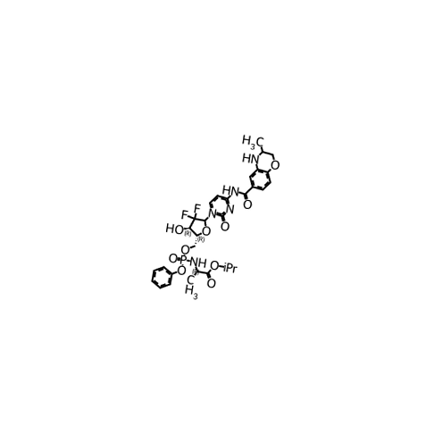 CC1COc2ccc(C(=O)Nc3ccn(C4O[C@H](COP(=O)(N[C@H](C)C(=O)OC(C)C)Oc5ccccc5)[C@@H](O)C4(F)F)c(=O)n3)cc2N1